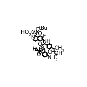 Cc1cc(C(Nc2cc3ccnc(N(C(=O)O)C(=O)OC(C)(C)C)c3cc2F)C(=O)N(C)Cc2cc(N)ccc2S(=O)(=O)C2CC2)ccc1[C@@H](C)CO